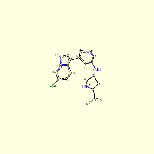 FC(F)[C@@H]1C[C@@H](Nc2cncc(-c3cnn4cc(Cl)ccc34)n2)CN1